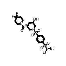 CCN(CC)S(=O)(=O)c1ccc(S(=O)(=O)N2CC(O)C[C@@H](C(=O)N3CCC(F)(F)CC3)C2)cc1